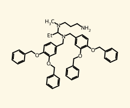 CCC(N(C)CCCN)N(Cc1ccc(OCc2ccccc2)c(OCc2ccccc2)c1)Cc1ccc(OCc2ccccc2)c(OCc2ccccc2)c1